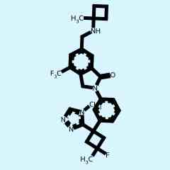 Cn1cnnc1C1(c2cccc(N3Cc4c(cc(CNC5(C)CCC5)cc4C(F)(F)F)C3=O)c2)CC(C)(F)C1